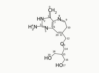 C=C1NC(N)=NC2=C1N=CCC(COCC(CO)CO)=C2